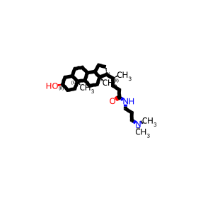 C[C@H](CCC(=O)NCCCN(C)C)[C@H]1CCC2C3CCC4C[C@H](O)CC[C@]4(C)C3CC[C@@]21C